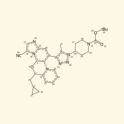 Cc1c(-c2cc(OC(CC3CC3)c3ccccn3)n3c(C#N)cnc3c2)nnn1C1CCN(C(=O)OC(C)(C)C)CC1